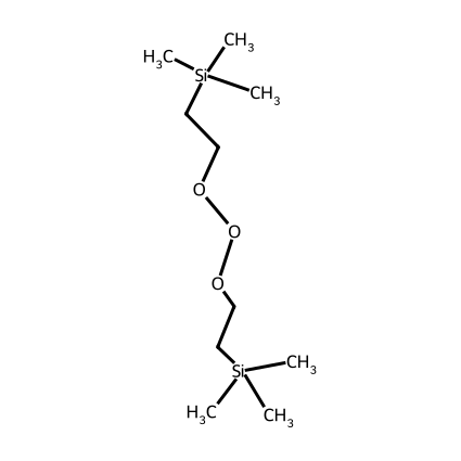 C[Si](C)(C)CCOOOCC[Si](C)(C)C